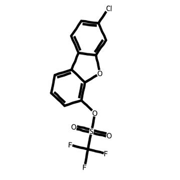 O=S(=O)(Oc1cccc2c1oc1cc(Cl)ccc12)C(F)(F)F